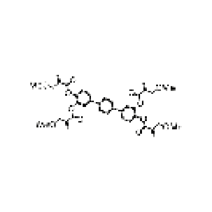 C=C(COC)C(=O)Oc1ccc(-c2ccc(-c3ccc(OC(=O)C(=C)COC)c(OC(=O)C(=C)COC)c3)cc2)cc1OC(=O)C(=C)COC